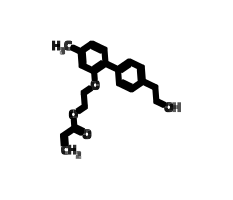 C=CC(=O)OCCOc1cc(C)ccc1-c1ccc(CCO)cc1